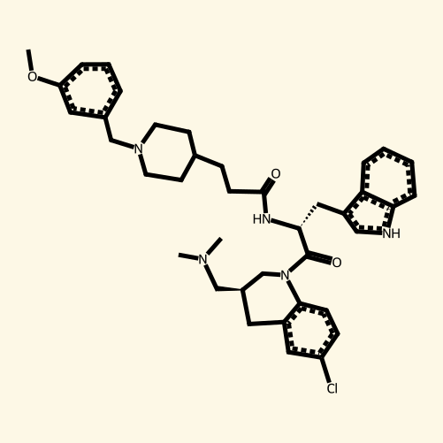 COc1cccc(CN2CCC(CCC(=O)N[C@H](Cc3c[nH]c4ccccc34)C(=O)N3C[C@H](CN(C)C)Cc4cc(Cl)ccc43)CC2)c1